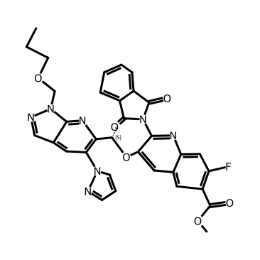 CCCOCn1ncc2cc(-n3cccn3)c([C@H](C)Oc3cc4cc(C(=O)OC)c(F)cc4nc3N3C(=O)c4ccccc4C3=O)nc21